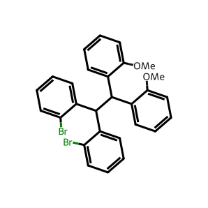 COc1ccccc1C(c1ccccc1OC)C(c1ccccc1Br)c1ccccc1Br